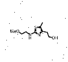 COCCNc1nc(CCO)c(C)s1